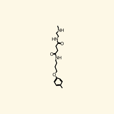 CNCCNC(=O)CCC(=O)NCCCCOc1ccc(C)cc1